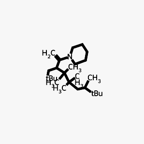 C=C(C(CC(C)(C)C)C(C)(C)C(C)(C)CC(C)C(C)(C)C)N1CCCCC1